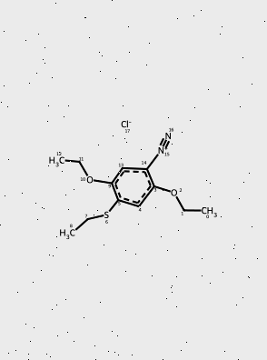 CCOc1cc(SCC)c(OCC)cc1[N+]#N.[Cl-]